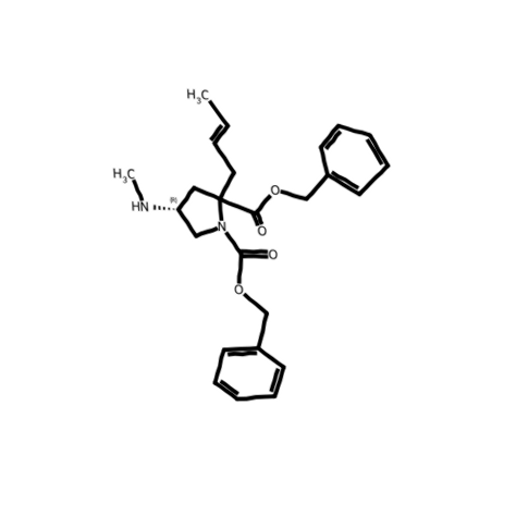 CC=CCC1(C(=O)OCc2ccccc2)C[C@@H](NC)CN1C(=O)OCc1ccccc1